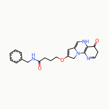 O=C(CCCOC1=CC2=CNC3=C(N=CCC3=O)N2C1)NCc1ccccc1